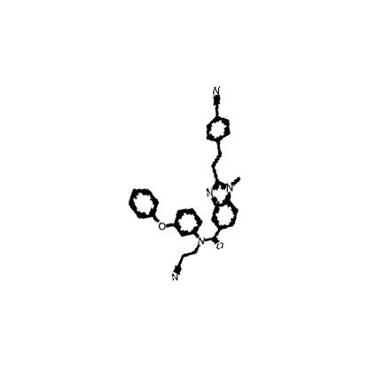 Cn1c(CCc2ccc(C#N)cc2)nc2cc(C(=O)N(CCC#N)c3cccc(Oc4ccccc4)c3)ccc21